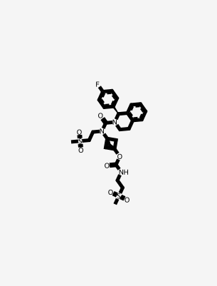 CS(=O)(=O)CCNC(=O)OC12CC(N(CCS(C)(=O)=O)C(=O)N3CCc4ccccc4[C@@H]3c3ccc(F)cc3)(C1)C2